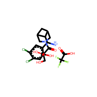 NC(c1cc(Cl)c(Cl)cc1O)C1C2CC1CN(C(=O)[C@H](O)CO)C2.O=C(O)C(F)(F)F